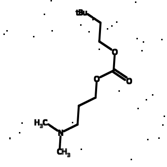 CN(C)CCCOC(=O)OCCC(C)(C)C